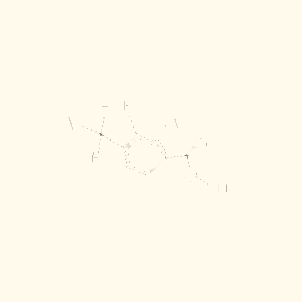 COC(=O)c1ccc(C(F)(F)F)c(F)c1Cl